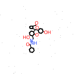 O=C(N/N=C/c1c(O)ccc2c1Oc1cc(O)ccc1C21OC(=O)c2ccccc21)c1ccccc1